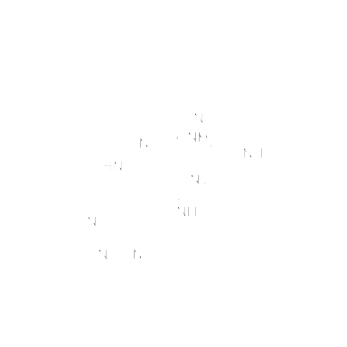 CC1N=C(N)N2Nc3nn[nH]c3NN1C2N